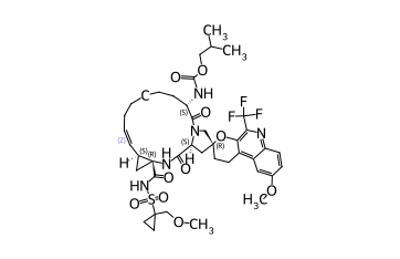 COCC1(S(=O)(=O)NC(=O)[C@@]23C[C@H]2/C=C\CCCCC[C@H](NC(=O)OCC(C)C)C(=O)N2C[C@@]4(CCc5c(c(C(F)(F)F)nc6ccc(OC)cc56)O4)C[C@H]2C(=O)N3)CC1